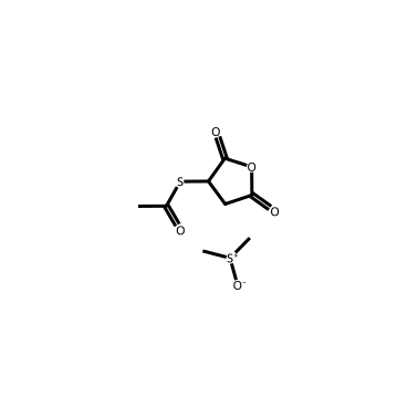 CC(=O)SC1CC(=O)OC1=O.C[S+](C)[O-]